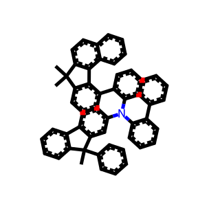 CC1(C)c2cccc(-c3ccccc3N(c3ccc4c(c3)C(C)(c3ccccc3)c3ccccc3-4)c3ccccc3-c3ccccc3)c2-c2c1ccc1ccccc21